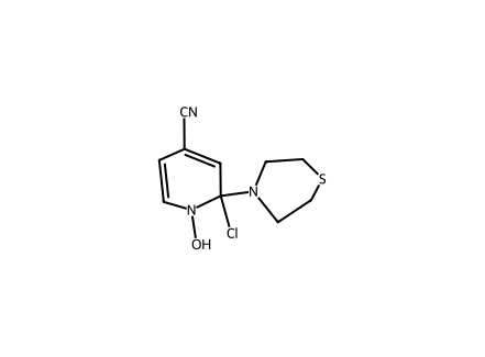 N#CC1=CC(Cl)(N2CCSCC2)N(O)C=C1